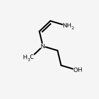 CN(/C=C\N)CCO